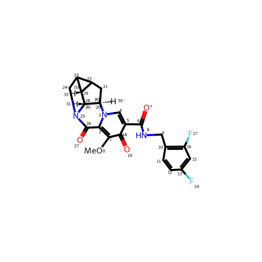 COc1c2n(cc(C(=O)NCc3ccc(F)cc3F)c1=O)[C@@H]1CC3C4CN(C2=O)[C@@H]1[C@@H]34